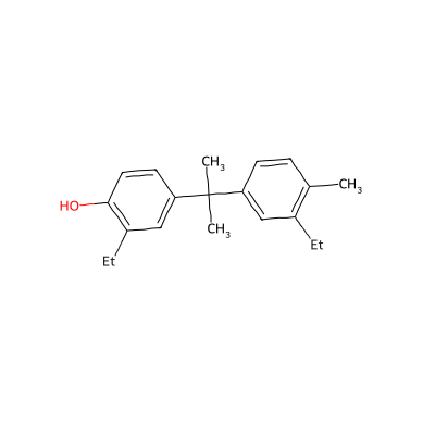 CCc1cc(C(C)(C)c2ccc(O)c(CC)c2)ccc1C